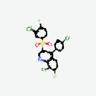 O=S(=O)(c1ccc(F)c(Cl)c1)c1cnc2c(Cl)c(F)ccc2c1-c1ccc(Cl)cc1